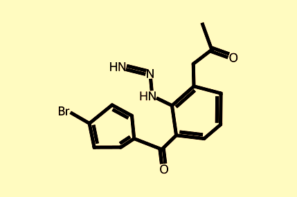 CC(=O)Cc1cccc(C(=O)c2ccc(Br)cc2)c1NN=N